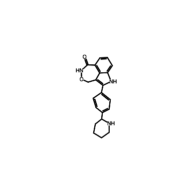 O=C1NOCc2c(-c3ccc(C4CCCCN4)cc3)[nH]c3cccc1c23